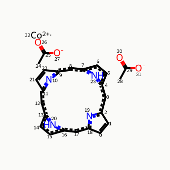 C1=Cc2cc3ccc(cc4nc(cc5ccc(cc1n2)[nH]5)C=C4)[nH]3.CC(=O)[O-].CC(=O)[O-].[Co+2]